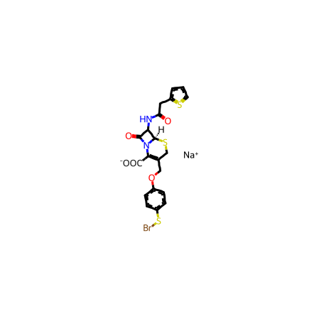 O=C(Cc1cccs1)NC1C(=O)N2C(C(=O)[O-])=C(COc3ccc(SBr)cc3)CS[C@H]12.[Na+]